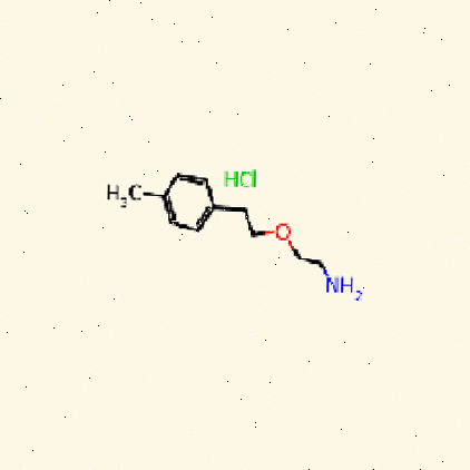 Cc1ccc(CCOCCN)cc1.Cl